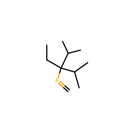 C=PC(CC)(C(C)C)C(C)C